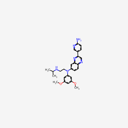 COc1cc(OC)cc(N(CCNC(C)C)c2ccc3ncc(-c4ccc(N)nc4)nc3c2)c1